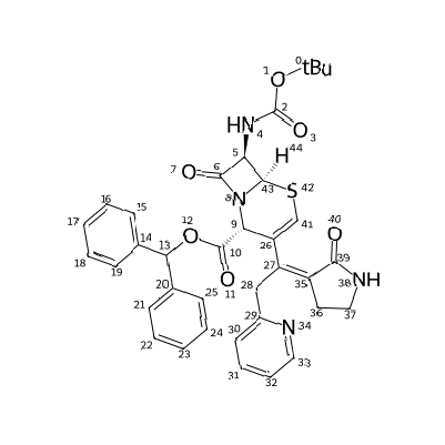 CC(C)(C)OC(=O)N[C@@H]1C(=O)N2[C@@H](C(=O)OC(c3ccccc3)c3ccccc3)C(C(Cc3ccccn3)=C3CCNC3=O)=CS[C@H]12